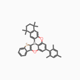 Cc1cc(C)c(-c2cc3c4c(c2)Oc2c(sc5ccccc25)B4c2cc4c(cc2O3)C(C)(C)CCC4(C)C)c(C)c1